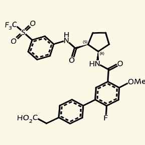 COc1cc(F)c(-c2ccc(CC(=O)O)cc2)cc1C(=O)N[C@@H]1CCC[C@@H]1C(=O)Nc1cccc(S(=O)(=O)C(F)(F)F)c1